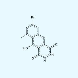 Cc1cc(Br)cc2nc3c(=O)[nH][nH]c(=O)c3c(O)c12